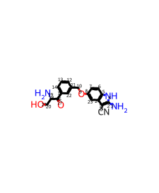 N#Cc1c(N)[nH]c2ccc(OCc3cccc(C(=O)[C@@H](N)CO)c3)cc12